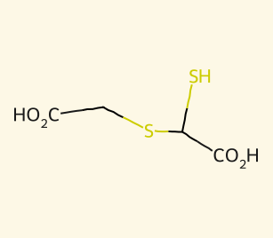 O=C(O)CSC(S)C(=O)O